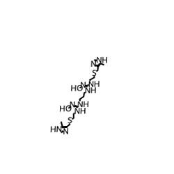 Cc1[nH]cnc1CSCCNC(=NO)NCCCNC(=NO)NCCSCc1nc[nH]c1C